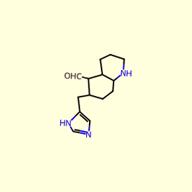 O=CC1C(Cc2cnc[nH]2)CCC2NCCCC21